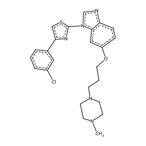 CN1CCN(CCCOc2ccc3ncn(-c4nc(-c5cccc(Cl)c5)cs4)c3c2)CC1